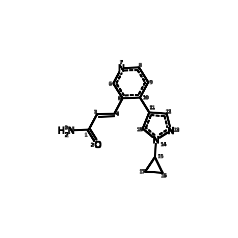 NC(=O)/C=C/c1cnccc1-c1cnn(C2CC2)c1